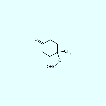 CC1(OC=O)CCC(=O)CC1